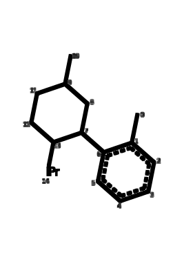 Cc1ccccc1C1CC(C)CCC1C(C)C